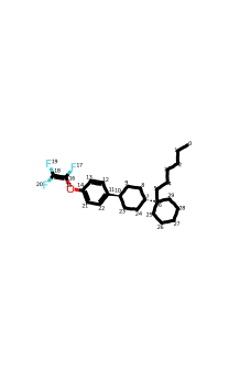 CCCCCCC1([C@H]2CC[C@H](c3ccc(OC(F)=C(F)F)cc3)CC2)CCCCC1